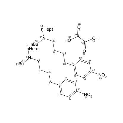 CCCCCCCN(CCCC)CCCCc1ccc([N+](=O)[O-])cc1.CCCCCCCN(CCCC)CCCCc1ccc([N+](=O)[O-])cc1.O=C(O)C(=O)O